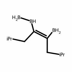 BB/C(CC(C)C)=C(\B)CC(C)C